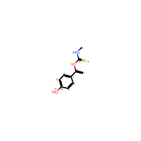 C=C(OC(=S)NC)c1ccc(O)cc1